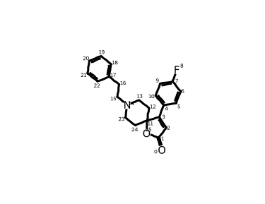 O=C1C=C(c2ccc(F)cc2)C2(CCN(CCc3ccccc3)CC2)O1